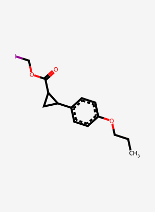 CCCOc1ccc(C2CC2C(=O)OCI)cc1